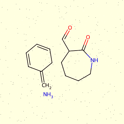 C=C1C=CC=CC1.N.O=CC1CCCCNC1=O